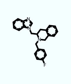 Fc1ccc(CN2Cc3ccccc3CC2Cn2cnc3ccccc32)cc1